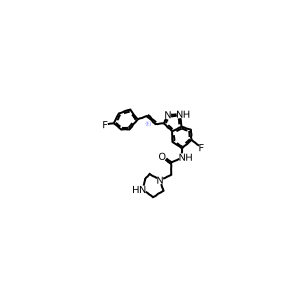 O=C(CN1CCNCC1)Nc1cc2c(/C=C/c3ccc(F)cc3)n[nH]c2cc1F